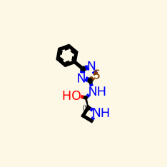 OC(Nc1nc(-c2ccccc2)ns1)[C@@H]1CCN1